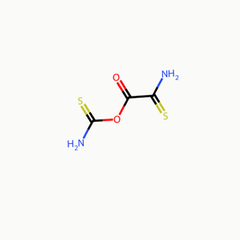 NC(=S)OC(=O)C(N)=S